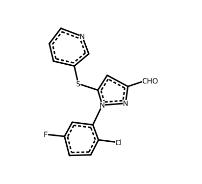 O=Cc1cc(Sc2cccnc2)n(-c2cc(F)ccc2Cl)n1